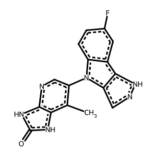 Cc1c(-n2c3ccc(F)cc3c3[nH]ncc32)cnc2[nH]c(=O)[nH]c12